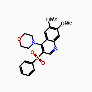 COc1cc2ncc(S(=O)(=O)c3ccccc3)c(N3CCOCC3)c2cc1OC